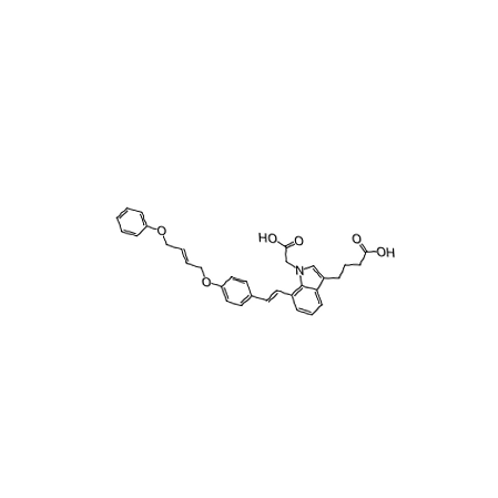 O=C(O)CCCc1cn(CC(=O)O)c2c(C=Cc3ccc(OC/C=C/COc4ccccc4)cc3)cccc12